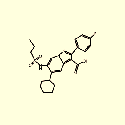 CCCS(=O)(=O)Nc1cn2nc(-c3ccc(F)cc3)c(C(=O)O)c2cc1C1CCCCC1